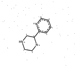 c1ccc(C2CNCC[N]2)nc1